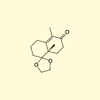 CC1=C2CCCC3(OCCO3)[C@@]2(C)CCC1=O